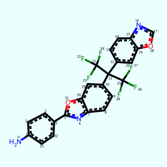 Nc1ccc(-c2nc3ccc(C(c4ccc5ncoc5c4)(C(F)(F)F)C(F)(F)F)cc3o2)cc1